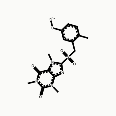 CCCOc1ccc(C)c(CS(=O)(=O)c2nc3c(c(=O)n(C)c(=O)n3C)n2C)c1